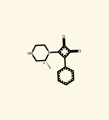 C[C@@H]1CNCCN1c1c(-c2ccccc2)c(=O)c1=O